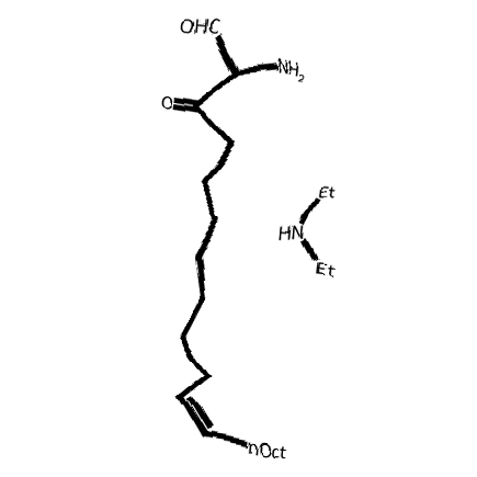 CCCCCCCC/C=C\CCCCCCCC(=O)C(N)C=O.CCNCC